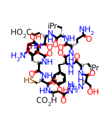 CC(C)C[C@H](NC(=O)[C@H](CCC(N)=O)NC(=O)[C@H](Cc1ccc(O)cc1)NC(=O)[C@H](CC(C)C)NC(=O)[C@@H](N)CO)C(=O)N[C@@H](CCC(=O)O)C(=O)N[C@@H](CC(N)=O)C(=O)N[C@@H](Cc1ccc(O)cc1)C(=O)N[C@@H](CS)C(=O)N[C@@H](CC(N)=O)C(=O)O